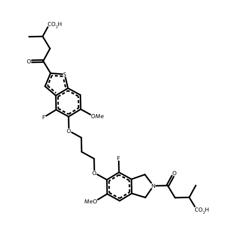 COc1cc2c(c(F)c1OCCCOc1c(OC)cc3sc(C(=O)CC(C)C(=O)O)cc3c1F)CN(C(=O)CC(C)C(=O)O)C2